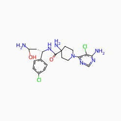 Nc1ncnc(N2CCC(N)(C(=O)N[C@@H](CC(N)O)c3ccc(Cl)cc3)CC2)c1Cl